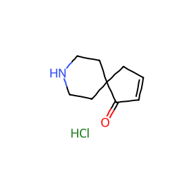 Cl.O=C1C=CCC12CCNCC2